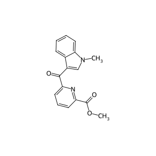 COC(=O)c1cccc(C(=O)c2cn(C)c3ccccc23)n1